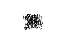 C=C(C)C(C)CC(C)C(C)(C)CC(=C)C(Cc1ccc(C(=O)c2ccccc2)cc1)NC(=C)C(C)(C)CC(=C)C(CC(=C)C(C)(C)CC(=O)C(C)NC(=C)C(C)(C)C)Cc1ccc2ccccc2c1